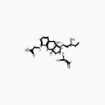 CC[C@H](O)CC[C@@H]1[C@H]2Cc3cccc(OCC(=O)O)c3C[C@H]2C[C@H]1OC(=O)C1CO1